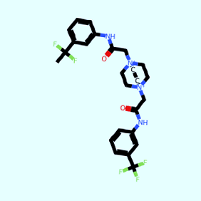 CC(F)(F)c1cccc(NC(=O)C[N+]23CC[N+](CC(=O)Nc4cccc(C(F)(F)F)c4)(CC2)CC3)c1